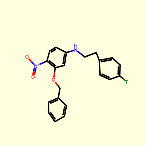 O=[N+]([O-])c1ccc(NCCc2ccc(F)cc2)cc1OCc1ccccc1